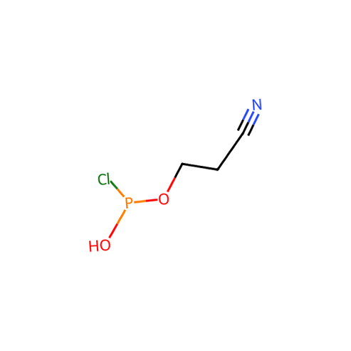 N#CCCOP(O)Cl